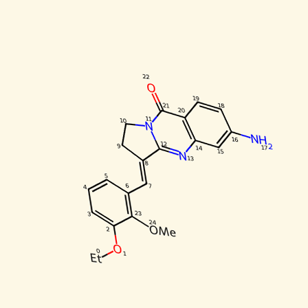 CCOc1cccc(C=C2CCn3c2nc2cc(N)ccc2c3=O)c1OC